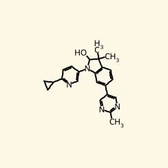 Cc1ncc(-c2ccc3c(c2)N(c2ccc(C4CC4)nc2)C(O)C3(C)C)cn1